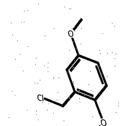 COc1ccc(OC)c(CCl)c1